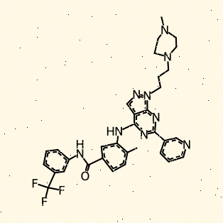 Cc1ccc(C(=O)Nc2cccc(C(F)(F)F)c2)cc1Nc1nc(-c2cccnc2)nc2c1cnn2CCCN1CCN(C)CC1